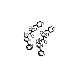 CC(C)(C(=O)Nc1nc(-c2ccccn2)cs1)S(=O)(=O)CC1CCOCC1.CC(C)(C(=O)Nc1nc(-c2cccnc2)cs1)S(=O)(=O)CC1CCOCC1